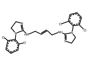 Clc1cccc(Cl)c1N1CCN=C1NC/C=C/CNC1=NCCN1c1c(Cl)cccc1Cl